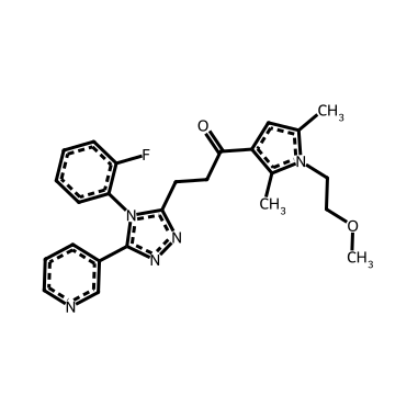 COCCn1c(C)cc(C(=O)CCc2nnc(-c3cccnc3)n2-c2ccccc2F)c1C